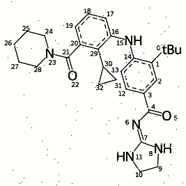 CC(C)(C)c1cc(C(=O)N=C2NCCN2)ccc1Nc1cccc(C(=O)N2CCCCC2)c1C1CC1